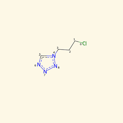 ClCCCn1[c]nnn1